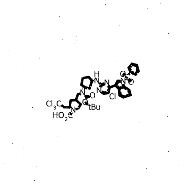 CC(C)(C)OC(=O)N(CC1CCN(C(=O)O)C(CC(Cl)(Cl)Cl)C1)[C@H]1CCC[C@@H](Nc2ncc(Cl)c(-c3cn(S(=O)(=O)c4ccccc4)c4ccccc34)n2)C1